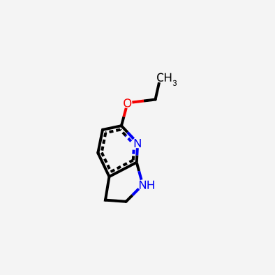 CCOc1ccc2c(n1)NCC2